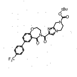 CC(C)(C)OC(=O)N1CCn2cc(C(=O)N3CCOc4ccc(-c5ccc(C(F)(F)F)cc5)cc4C3=O)nc2C1